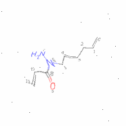 C=CCC=CCN(N)C(=O)C=C